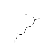 CC(C)OCCSF